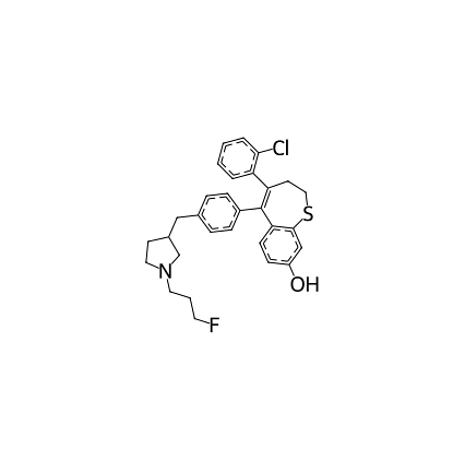 Oc1ccc2c(c1)SCCC(c1ccccc1Cl)=C2c1ccc(CC2CCN(CCCF)C2)cc1